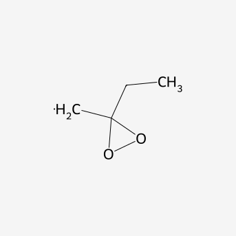 [CH2]C1(CC)OO1